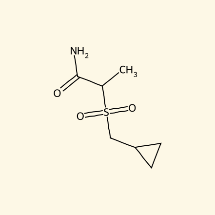 CC(C(N)=O)S(=O)(=O)CC1CC1